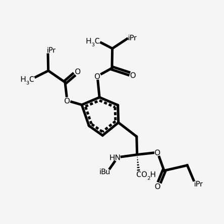 CCC(C)N[C@@](Cc1ccc(OC(=O)C(C)C(C)C)c(OC(=O)C(C)C(C)C)c1)(OC(=O)CC(C)C)C(=O)O